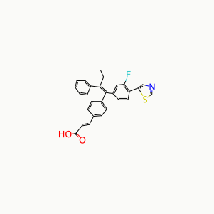 CCC(=C(c1ccc(C=CC(=O)O)cc1)c1ccc(-c2cncs2)c(F)c1)c1ccccc1